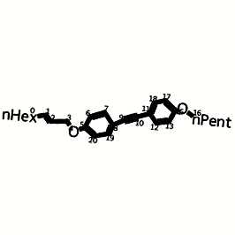 CCCCCCC=CCOc1ccc(C#Cc2ccc(OCCCCC)cc2)cc1